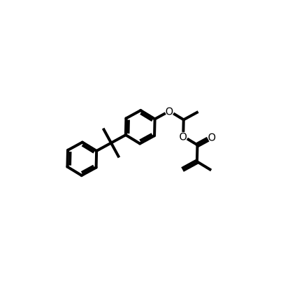 C=C(C)C(=O)OC(C)Oc1ccc(C(C)(C)c2ccccc2)cc1